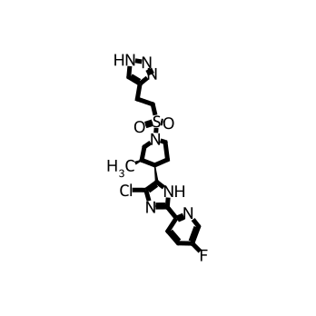 C[C@H]1CN(S(=O)(=O)CCc2c[nH]nn2)CC[C@H]1c1[nH]c(-c2ccc(F)cn2)nc1Cl